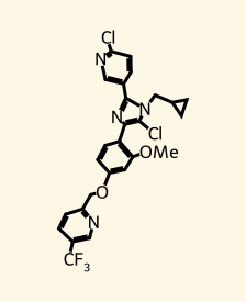 COc1cc(OCc2ccc(C(F)(F)F)cn2)ccc1-c1nc(-c2ccc(Cl)nc2)n(CC2CC2)c1Cl